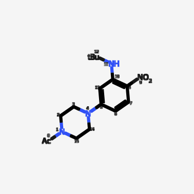 CC(=O)N1CCN(c2ccc([N+](=O)[O-])c(NC(C)(C)C)c2)CC1